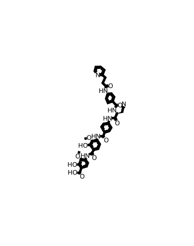 COc1c(NC(=O)c2ccc(NC(=O)c3ccc(NC(=O)[C@H](CC#N)NC(=O)c4ccc(NC(=O)CCc5ccccn5)cc4)cc3)c(OC)c2O)ccc(C(=O)O)c1O